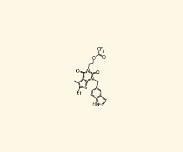 CCc1sc2c(c1C)c(=O)n(CCOC(=O)C(F)(F)F)c(=O)n2Cc1ccc2[nH]ccc2c1